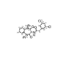 CC(C)N1C(=O)C(NC(=O)Cc2cc(Cl)cc(Cl)c2)C(=O)N(C(C)C)c2ccccc21